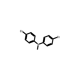 CCc1ccc(N(C)c2ccc(CC)cc2)cc1